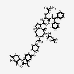 Cn1c(=O)n(C2CCC(=O)NC2=O)c2ccc(C[C@H]3CC[C@H](CC(=O)N4CC[C@H]5CC[C@@H](C(=O)NC(CCC(N)=O)C(=O)NC(c6ccccc6)c6ccccc6)N5C(=O)[C@@H](NC(=O)OC(C)(C)C)C4)CC3)cc21